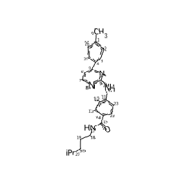 Cc1ccc(-c2ccnc(Nc3ccc(C(=O)NCCCC(C)C)cc3)n2)cc1